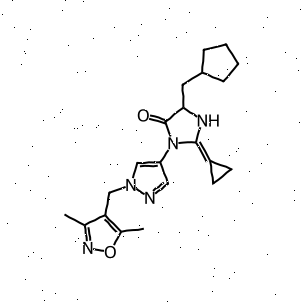 Cc1noc(C)c1Cn1cc(N2C(=O)C(CC3CCCC3)NC2=C2CC2)cn1